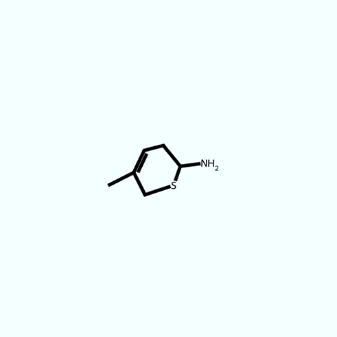 CC1=CCC(N)SC1